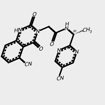 C[C@@H](NC(=O)Cn1c(=O)[nH]c2cccc(C#N)c2c1=O)c1ncc(C#N)cn1